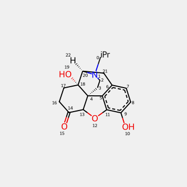 CC(C)N1CC[C@]23c4c5ccc(O)c4OC2C(=O)CC[C@@]3(O)[C@H]1C5